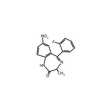 C[C@@H]1N=C(c2ccccc2F)c2cc([N+](=O)[O-])ccc2NC1=O